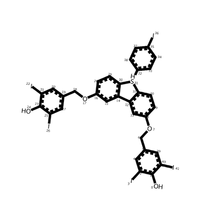 Oc1c(I)cc(COc2ccc3c(c2)-c2cc(OCc4cc(I)c(O)c(I)c4)ccc2[SH]3c2ccc(I)cc2)cc1I